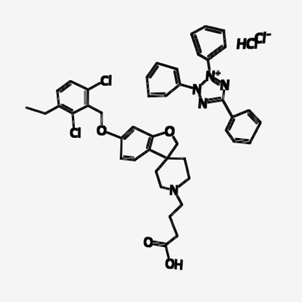 CCc1ccc(Cl)c(COc2ccc3c(c2)OCC32CCN(CCCC(=O)O)CC2)c1Cl.Cl.[Cl-].c1ccc(-c2nn(-c3ccccc3)[n+](-c3ccccc3)n2)cc1